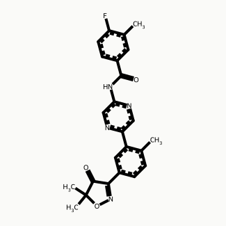 Cc1cc(C(=O)Nc2cnc(-c3cc(C4=NOC(C)(C)C4=O)ccc3C)cn2)ccc1F